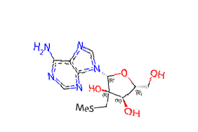 CSC[C@@]1(O)[C@H](O)[C@@H](CO)O[C@H]1n1cnc2c(N)ncnc21